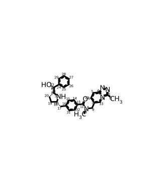 Cc1nnc2ccc(CN(C)C(=O)c3ccc(C[C@@H]4CC[C@H]([C@H](O)c5ccccc5)N4)cc3)cn12